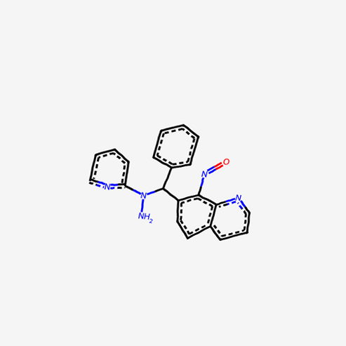 NN(c1ccccn1)C(c1ccccc1)c1ccc2cccnc2c1N=O